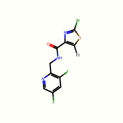 CCc1sc(Br)nc1C(=O)NCc1ncc(F)cc1F